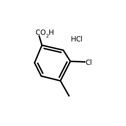 Cc1ccc(C(=O)O)cc1Cl.Cl